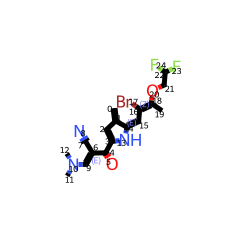 C=c1cc(C(=O)/C(C#N)=C/N(C)C)[nH]/c1=C/C(Br)=C(\C)OCC(F)F